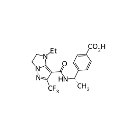 CCN1CCn2nc(C(F)(F)F)c(C(=O)N[C@@H](C)c3ccc(C(=O)O)cc3)c21